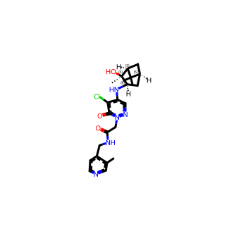 Cc1cnccc1CNC(=O)Cn1ncc(N[C@@H]2C[C@@H]3C[C@@H](C3(C)C)[C@]2(C)O)c(Cl)c1=O